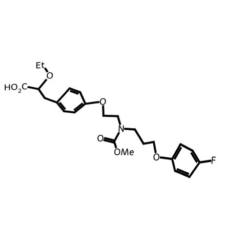 CCOC(Cc1ccc(OCCN(CCCOc2ccc(F)cc2)C(=O)OC)cc1)C(=O)O